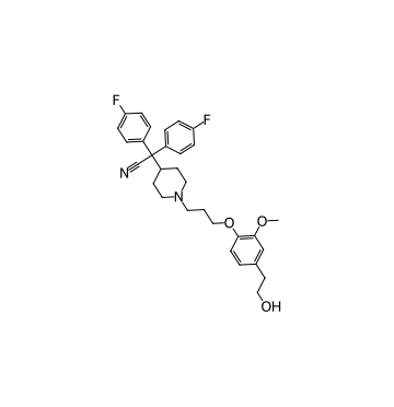 COc1cc(CCO)ccc1OCCCN1CCC(C(C#N)(c2ccc(F)cc2)c2ccc(F)cc2)CC1